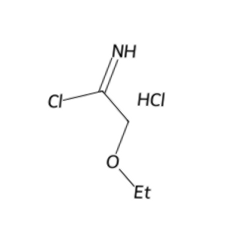 CCOCC(=N)Cl.Cl